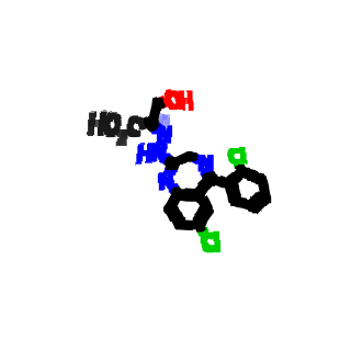 O=C(O)/C(CO)=N\NC1=Nc2ccc(Cl)cc2C(c2ccccc2Cl)=NC1